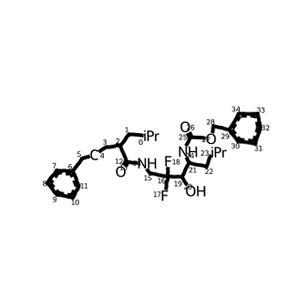 CC(C)CC(CCCc1ccccc1)C(=O)NCC(F)(F)C(O)C(CC(C)C)NC(=O)OCc1ccccc1